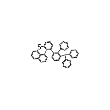 c1ccc(C2(c3ccccc3)c3ccccc3-c3c(-c4cccc5c4-c4cccc6cccc(c46)S5)cccc32)cc1